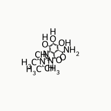 CC(C)N(c1nc2c(O)c(O)c(O)c(C(N)=O)c2c(=O)[nH]1)C(C)C